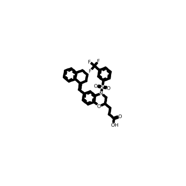 O=C(O)CCC1CN(S(=O)(=O)c2cccc(C(F)(F)F)c2)c2cc(C=C3CCCc4ccccc43)ccc2O1